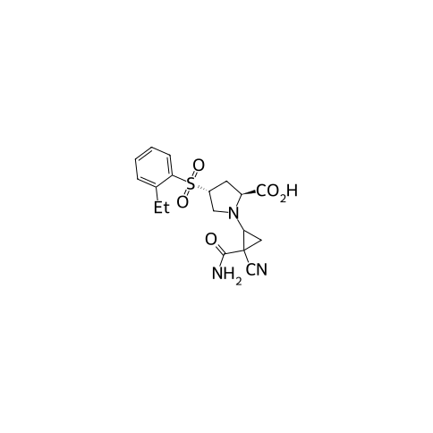 CCc1ccccc1S(=O)(=O)[C@@H]1C[C@@H](C(=O)O)N(C2CC2(C#N)C(N)=O)C1